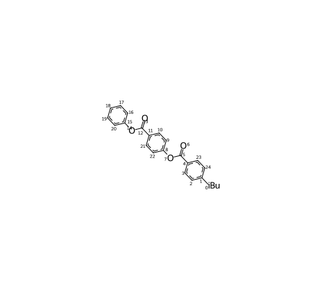 CCC(C)c1ccc(C(=O)Oc2ccc(C(=O)Oc3ccccc3)cc2)cc1